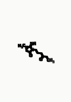 CCC(=O)CCCN1C(=N)N(C)CC1=O